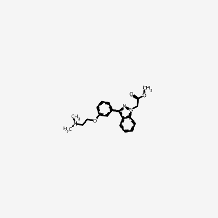 COC(=O)Cn1nc(-c2cccc(OCCN(C)C)c2)c2ccccc21